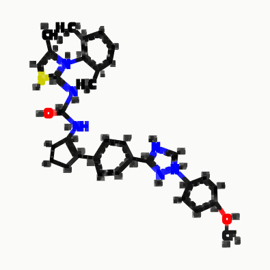 Cc1cccc(C)c1-n1c(C)cs/c1=N\C(=O)NC1=C(c2ccc(-c3ncn(-c4ccc(OC(F)(F)F)cc4)n3)cc2)CCC1